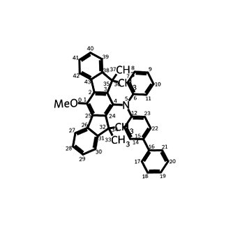 COc1c2c(c(N(c3ccccc3)c3ccc(-c4ccccc4)cc3)c3c1-c1ccccc1C3(C)C)C(C)(C)c1ccccc1-2